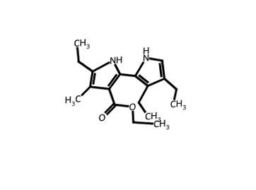 CCOC(=O)c1c(-c2[nH]cc(CC)c2CC)[nH]c(CC)c1C